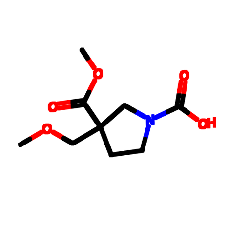 COCC1(C(=O)OC)CCN(C(=O)O)C1